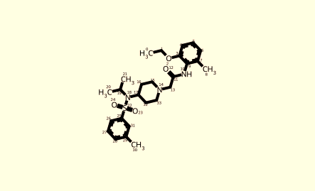 CCOc1cccc(C)c1NC(=O)CN1CCC(N(C(C)C)S(=O)(=O)c2cccc(C)c2)CC1